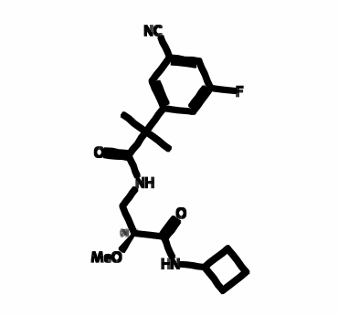 CO[C@@H](CNC(=O)C(C)(C)c1cc(F)cc(C#N)c1)C(=O)NC1CCC1